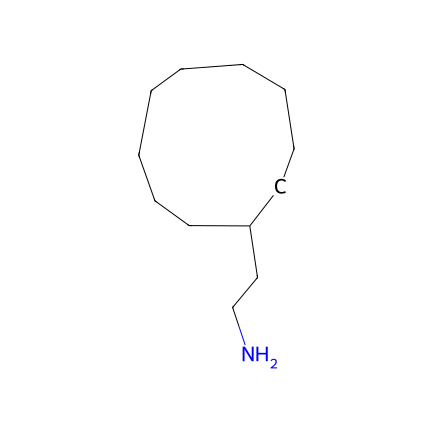 NCCC1CCCCCCCCC1